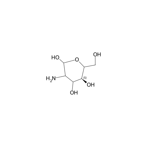 NC1C(O)OC(CO)[C@@H](O)C1O